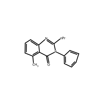 CC[CH]c1nc2cccc(C)c2c(=O)n1-c1ccccc1